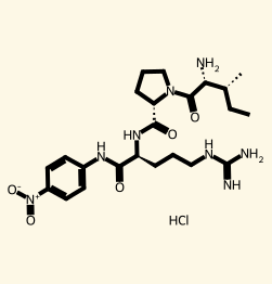 CC[C@@H](C)[C@@H](N)C(=O)N1CCC[C@H]1C(=O)N[C@@H](CCCNC(=N)N)C(=O)Nc1ccc([N+](=O)[O-])cc1.Cl